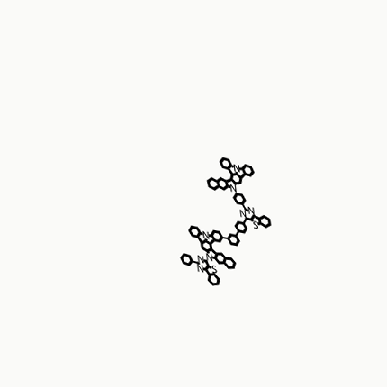 c1ccc(-c2nc(-n3c4cc5ccccc5cc4c4c5c6cc(-c7cccc(-c8ccc(-c9nc(-c%10ccc(-n%11c%12cc%13ccccc%13cc%12c%12c%13c%14ccccc%14n%14c%15ccccc%15c(cc%12%11)c%13%14)cc%10)nc%10c9sc9ccccc9%10)cc8)c7)ccc6n6c7ccccc7c(cc43)c56)c3sc4ccccc4c3n2)cc1